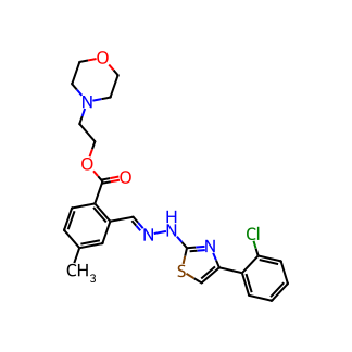 Cc1ccc(C(=O)OCCN2CCOCC2)c(C=NNc2nc(-c3ccccc3Cl)cs2)c1